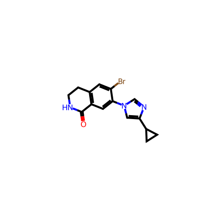 O=C1NCCc2cc(Br)c(-n3cnc(C4CC4)c3)cc21